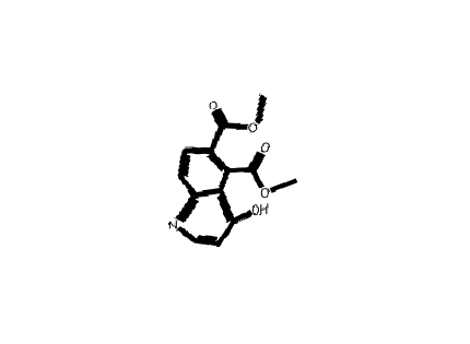 COC(=O)c1ccc2nccc(O)c2c1C(=O)OC